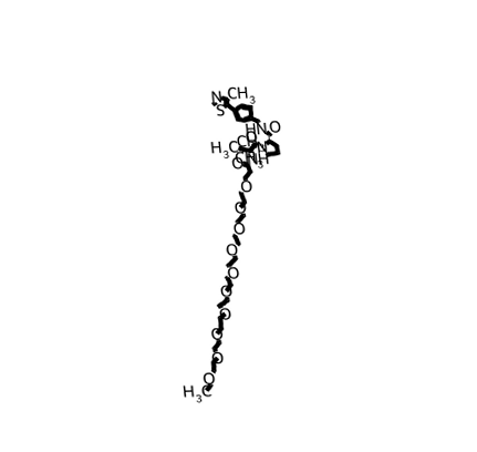 CCOCCOCCOCCOCCOCCOCCOCCOCCOCCOCCC(=O)NC(C(=O)N1CCC[C@H]1C(=O)NCc1ccc(-c2scnc2C)cc1)C(C)(C)C